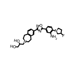 Nc1cc(-c2nc(-c3ccc4c(c3)CCN(CC(O)CO)CC4)no2)ccc1N1CCC(F)C1